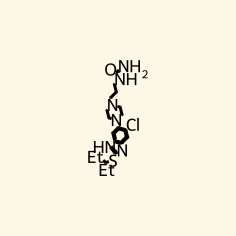 CCC(CC)Sc1nc2cc(Cl)c(N3CCN(CCCNC(N)=O)CC3)cc2[nH]1